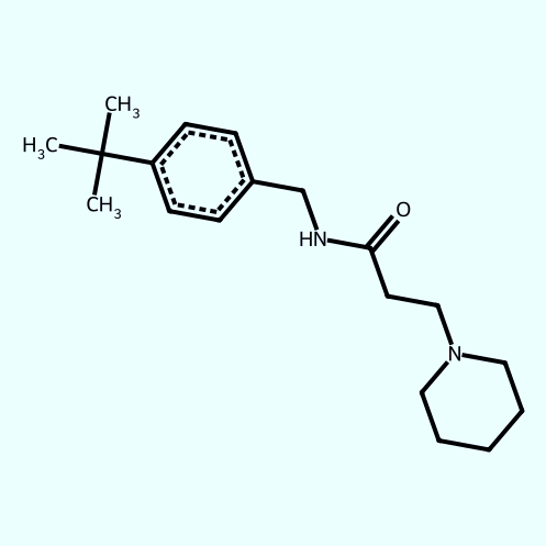 CC(C)(C)c1ccc(CNC(=O)CCN2CCCCC2)cc1